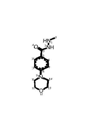 CNNC(=O)c1ccc(N2CCOCC2)cc1